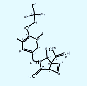 CC1=C(OCC(F)(F)F)N(C)CC(CN2C(=O)C3C=CC3(C(=N)Cl)C2C)=C1